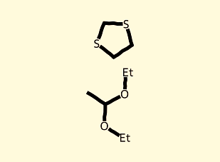 C1CSCS1.CCOC(C)OCC